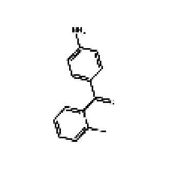 Cc1ccccc1C(=O)c1ccc(N)cc1